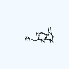 CC(C)Cc1ncc2[nH]cnc2n1